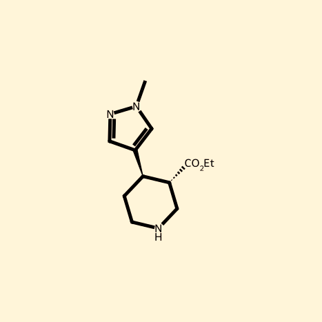 CCOC(=O)[C@@H]1CNCC[C@H]1c1cnn(C)c1